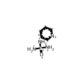 NP(N)(N)=O.c1ccncc1